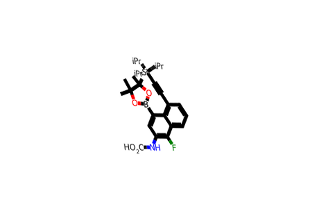 CC(C)[Si](C#Cc1cccc2c(F)c(NC(=O)O)cc(B3OC(C)(C)C(C)(C)O3)c12)(C(C)C)C(C)C